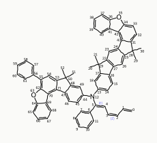 C=C/C=C\C=C(/c1ccccc1)N(c1ccc2c(c1)C(C)(C)c1cc3c(cc1-2)C(C)(C)c1ccc2oc4ccccc4c2c1-3)c1ccc2c(c1)C(C)(C)c1cc(-c3ccccc3)c3oc4ccccc4c3c1-2